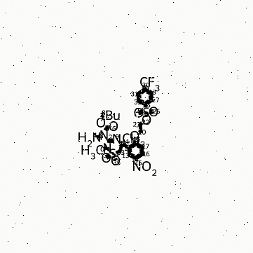 CN1C(N(N)C(=O)OC(C)(C)C)=N[C@](C)(c2cc([N+](=O)[O-])ccc2OCCOS(=O)(=O)c2ccc(C(F)(F)F)cc2)CS1(=O)=O